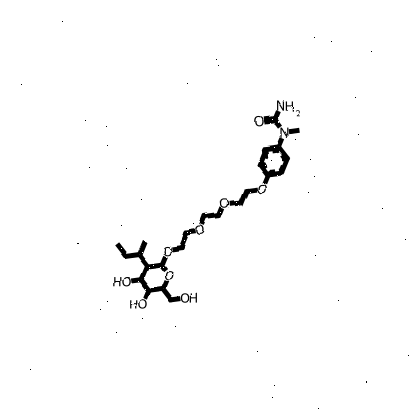 CCC(C)C1C(OCCOCCOCCOc2ccc(N(C)C(N)=O)cc2)OC(CO)C(O)C1O